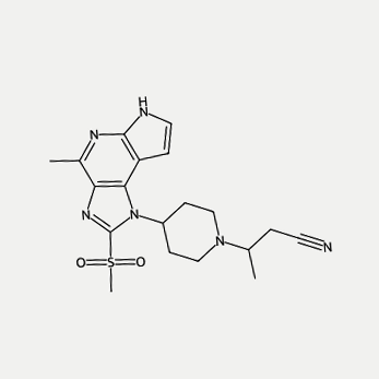 Cc1nc2[nH]ccc2c2c1nc(S(C)(=O)=O)n2C1CCN(C(C)CC#N)CC1